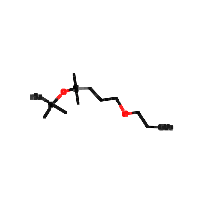 CCCC[Si](C)(C)O[Si](C)(C)CCCOCCOC